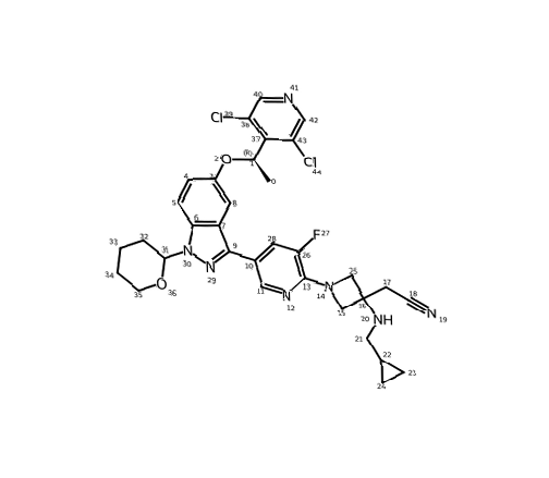 C[C@@H](Oc1ccc2c(c1)c(-c1cnc(N3CC(CC#N)(NCC4CC4)C3)c(F)c1)nn2C1CCCCO1)c1c(Cl)cncc1Cl